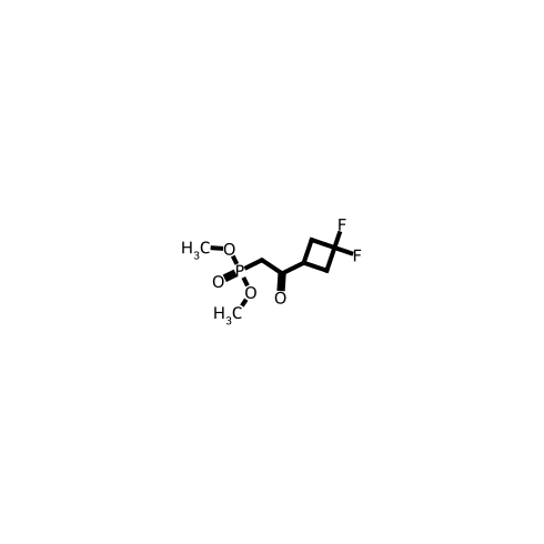 COP(=O)(CC(=O)C1CC(F)(F)C1)OC